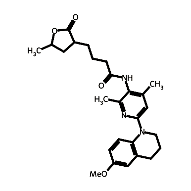 COc1ccc2c(c1)CCCN2c1cc(C)c(NC(=O)CCCC2CC(C)OC2=O)c(C)n1